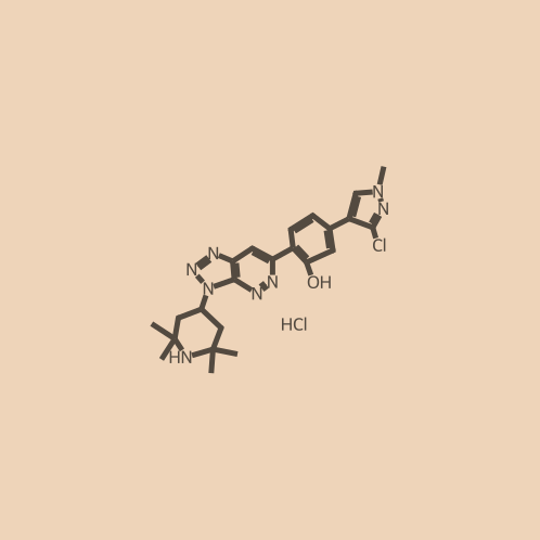 Cl.Cn1cc(-c2ccc(-c3cc4nnn(C5CC(C)(C)NC(C)(C)C5)c4nn3)c(O)c2)c(Cl)n1